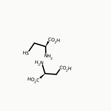 N[C@@H](CC(=O)O)C(=O)O.N[C@@H](CS)C(=O)O